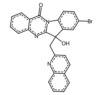 O=c1c2ccccc2nc2n1-c1ccc(Br)cc1C2(O)Cc1ccc2ccccc2n1